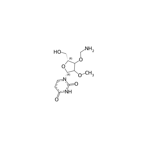 COC1C(OCN)[C@@H](CO)O[C@H]1n1ccc(=O)[nH]c1=O